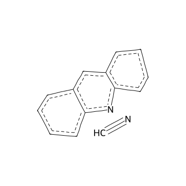 C#N.c1ccc2nc3ccccc3cc2c1